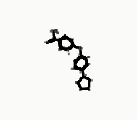 NC(=O)c1ccc(Oc2ccc(C3CCCC3)cc2)nc1